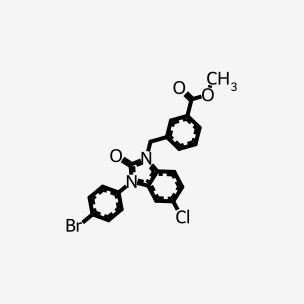 COC(=O)c1cccc(Cn2c(=O)n(-c3ccc(Br)cc3)c3cc(Cl)ccc32)c1